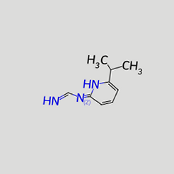 CC(C)c1ccc/c(=N/C=N)[nH]1